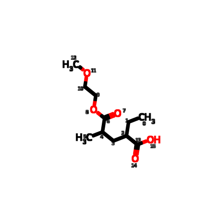 CCC(CC(C)C(=O)OCCOC)C(=O)O